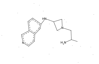 CC(N)CN1CC(Nc2ccc3cnccc3c2)C1